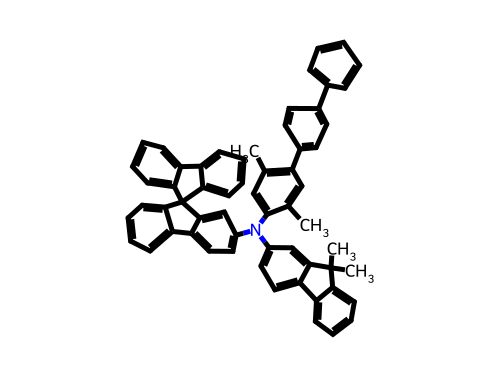 Cc1cc(N(c2ccc3c(c2)C(C)(C)c2ccccc2-3)c2ccc3c(c2)C2(c4ccccc4-c4ccccc42)c2ccccc2-3)c(C)cc1-c1ccc(-c2ccccc2)cc1